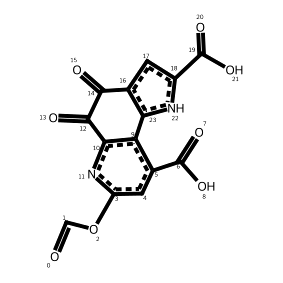 O=COc1cc(C(=O)O)c2c(n1)C(=O)C(=O)c1cc(C(=O)O)[nH]c1-2